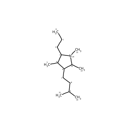 CCCC1C(C)C(CCC(C)C)C(C)N1C